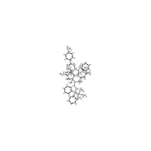 C=C1N[C@H]2[C@H](CO[Si](c3ccccc3)(c3ccccc3)C(C)(C)C)N/C(=N/C(=O)C(Cl)(Cl)Cl)N3[C@@H](c4ccccc4)[C@H](OC(=O)c4ccc(C)cc4)C(O)(O)C23N1